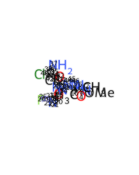 CON(C)C(=O)c1nn2c(c1C)CN(c1nc(OC[C@@]34CCCN3C/C(=C\F)C4)nc3c1COC(c1cc(N)cc(Cl)c1C(F)(F)F)C3)CCC2